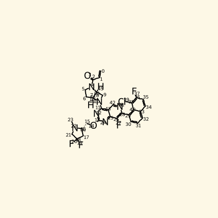 C=CC(=O)N1CC[C@@H]2[C@H]1CN2c1nc(OC[C@@H]2CC(F)(F)CN2C)nc2c(F)c(-c3cccc4ccc(F)c(Cl)c34)ncc12